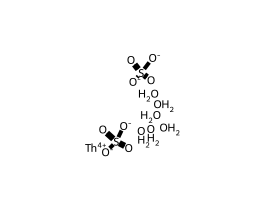 O.O.O.O.O.O.O=S(=O)([O-])[O-].O=S(=O)([O-])[O-].[Th+4]